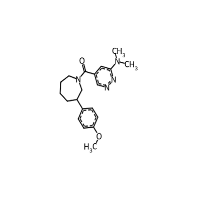 COc1ccc(C2CCCCN(C(=O)c3cnnc(N(C)C)c3)C2)cc1